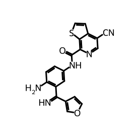 N#Cc1cnc(C(=O)Nc2ccc(N)c(C(=N)c3ccoc3)c2)c2sccc12